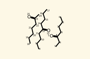 CCCCC(=O)CC.CCCCC(=O)CCCC.CCCCCC(C)=O